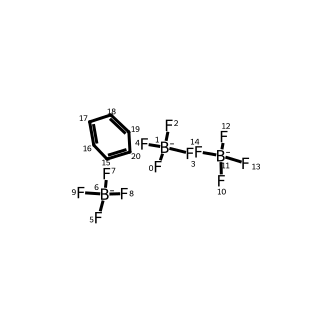 F[B-](F)(F)F.F[B-](F)(F)F.F[B-](F)(F)F.c1ccccc1